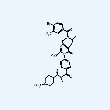 CSc1nc2c(c(=O)n1-c1ccc(C(=O)N(C)C(=O)C3CCN(C(=O)O)CC3)cc1)CC(C)N(C(=O)c1ccc(Br)c(C(F)(F)F)c1)C2